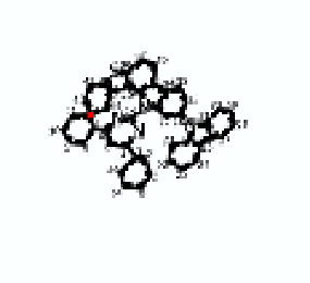 c1ccc(-c2cc(-c3ccccc3)nc(-n3c4cc(-n5c6ccccc6c6ccccc65)ccc4c4ccc5sc6ccccc6c5c43)n2)cc1